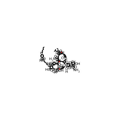 CCCCCOc1ccc(S(=O)(=O)NCCCCNCc2c(O)cc3c(c2O)-c2cc(ccc2O)[C@H]2CC(=O)[C@@H]4NC(=O)[C@H](CC(N)=O)CC(=O)[C@H](NC(=O)[C@H](CC)CC(C)C)[C@H](O)c5ccc(c(Cl)c5)Oc5cc4cc(c5O[C@@H]4O[C@H](CO)[C@@H](O)[C@H](O)[C@H]4O[C@H]4C[C@](C)(NC(=O)CN)[C@H](O)[C@H](C)O4)Oc4ccc(cc4Cl)[C@@H](O)[C@H](NC2=O)C(=O)N[C@@H]3C(=O)O)cc1